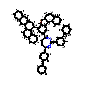 C1=CC(c2ccc(-c3ccccc3)cc2)N=C(c2cccc(-c3ccccc3)c2)N=C1c1cc(C2Cc3cc4ccccc4cc3-c3ccc4ccccc4c32)c2c(c1)C1c3ccccc3C=CC1S2